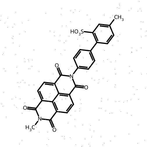 Cc1ccc(-c2ccc(N3C(=O)c4ccc5c6c(ccc(c46)C3=O)C(=O)N(C)C5=O)cc2)c(S(=O)(=O)O)c1